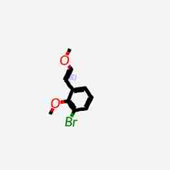 CO/C=C/c1cccc(Br)c1OC